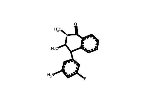 CC1C(c2cc(N)cc(F)c2)c2ccccc2C(=O)N1C